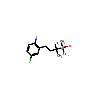 CC(C)(CCc1cc(F)ccc1I)[Si](C)(C)O